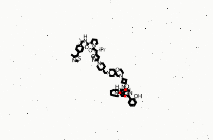 Cc1ncsc1-c1ccc([C@H](C)NC(=O)[C@@H]2CCCN2C(=O)[C@@H](c2cc(N3CCC(CN4CCC5(CC4)CN(C4CC(Oc6cc(N7C8CCC7CN(c7cc(-c9ccccc9O)nnc7N)C8)ccn6)C4)CCO5)CC3)no2)C(C)C)cc1